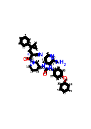 N#C/C(=C\C1(c2ccccc2)CC1)C(=O)N1CCC[C@@H](n2c(=O)n(-c3ccc(Oc4ccccc4)cc3)c3c(N)nccc32)C1